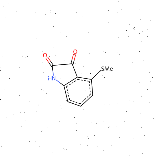 CSc1cccc2c1C(=O)C(=O)N2